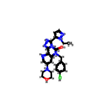 CCn1nccc1-c1nnc2c3ncc(N4CCOCC4)cc3n(Cc3ccc(Cl)cc3)c(=O)n12